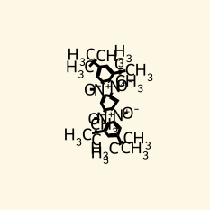 CC(C)(C)c1cc(C(C)(C)C)c2c(c1)[n+]([O-])c1cc3c(cc1[n+]2[O-])[n+]([O-])c1cc(C(C)(C)C)cc(C(C)(C)C)c1[n+]3[O-]